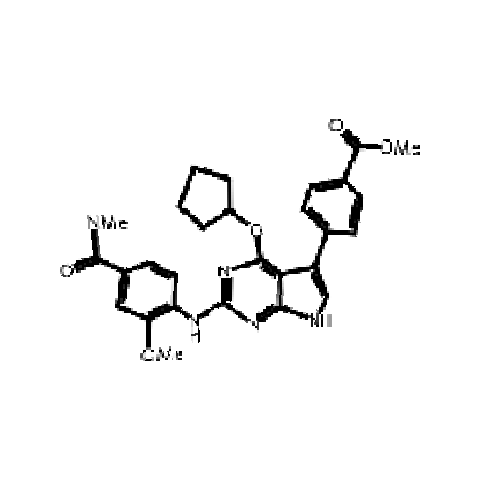 CNC(=O)c1ccc(Nc2nc(OC3CCCC3)c3c(-c4ccc(C(=O)OC)cc4)c[nH]c3n2)c(OC)c1